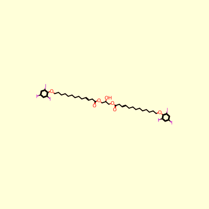 O=C(CC=CCCCCCCCCCOc1c(I)cc(I)cc1I)OCC(O)COC(=O)CC=CCCCCCCCCCOc1c(I)cc(I)cc1I